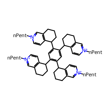 CCCCC[n+]1ccc2c(c1)CCCC2c1cc(C2CCCc3c[n+](CCCCC)ccc32)c(C2CCCc3c[n+](CCCCC)ccc32)cc1C1CCCc2c[n+](CCCCC)ccc21